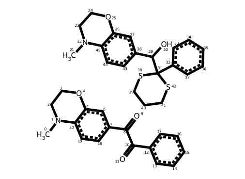 CN1CCOc2cc(C(=O)C(=O)c3ccccc3)ccc21.CN1CCOc2cc(C(O)C3(c4ccccc4)SCCCS3)ccc21